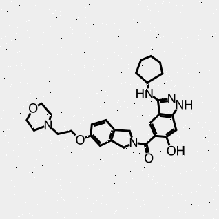 O=C(c1cc2c(NC3CCCCC3)n[nH]c2cc1O)N1Cc2ccc(OCCN3CCOCC3)cc2C1